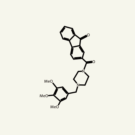 COc1cc(CN2CCN(C(=O)c3ccc4c(c3)C(=O)c3ccccc3-4)CC2)cc(OC)c1OC